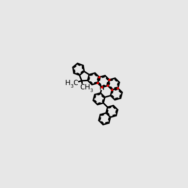 CC1(C)c2ccccc2-c2ccc(N(c3ccccc3)c3cccc(-c4cccc5ccccc45)c3-c3ccccc3-c3ccccc3)cc21